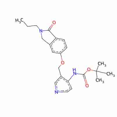 CCCN1Cc2cc(OCc3cnccc3NC(=O)OC(C)(C)C)ccc2C1=O